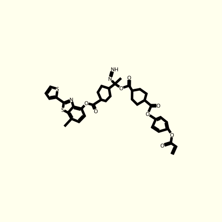 C=CC(=O)Oc1ccc(OC(=O)C2CCC(C(=O)OC(C)(N=N)C3CCC(C(=O)Oc4ccc(C)c5sc(-c6cccs6)nc45)CC3)CC2)cc1